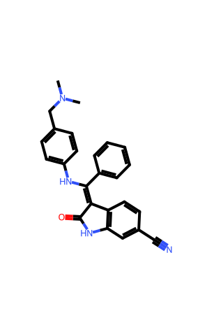 CN(C)Cc1ccc(N/C(=C2\C(=O)Nc3cc(C#N)ccc32)c2ccccc2)cc1